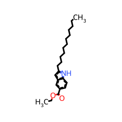 CCCCCCCCCCCCc1cc2cc(C(=O)OCC)ccc2[nH]1